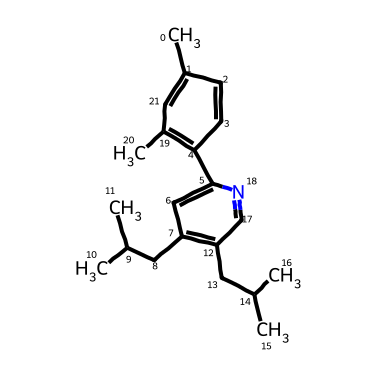 Cc1ccc(-c2cc(CC(C)C)c(CC(C)C)cn2)c(C)c1